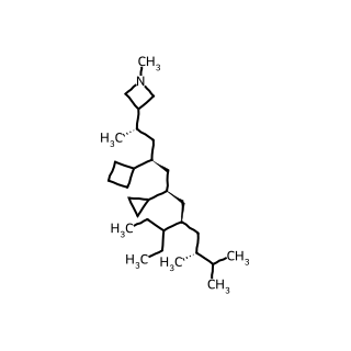 CCC(CC)[C@@H](C[C@H](C[C@H](C[C@H](C)C1CN(C)C1)C1CCC1)C1CC1)C[C@@H](C)C(C)C